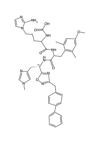 COc1cc(C)c(CC(NC(=O)C(CCCn2ccnc2N)NC(=O)O)C(=O)N[C@@H](Cc2cn(C)cn2)c2nc(Cc3ccc(-c4ccccc4)cc3)no2)c(C)c1